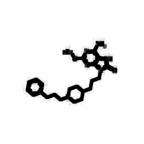 CCCCOc1nc(N)c2[nH]c(=O)n(CCCC3CCN(CCCc4ccccc4)CC3)c2n1